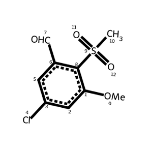 COc1cc(Cl)cc(C=O)c1S(C)(=O)=O